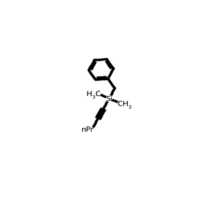 CCCC#C[Si](C)(C)Cc1ccccc1